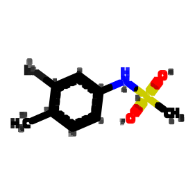 CCc1cc(NS(C)(=O)=O)ccc1C